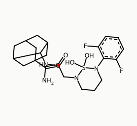 NC(=O)C12CC3CC(C1)C(NC(=O)CN1CCCN(c4c(F)cccc4F)S1(O)O)C(C3)C2